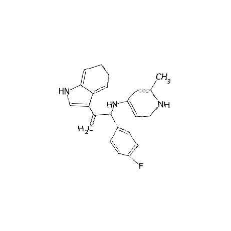 C=C(c1c[nH]c2c1=CCCC=2)C(NC1=CCNC(C)=C1)c1ccc(F)cc1